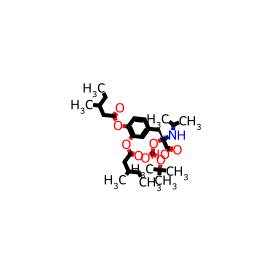 CCC(C)CC(=O)Oc1ccc(C[C@](NC(C)C)(OC(=O)OC(C)(C)C)C(=O)O)cc1OC(=O)CC(C)CC